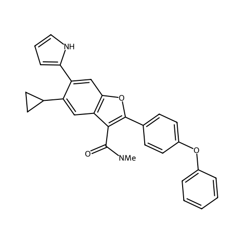 CNC(=O)c1c(-c2ccc(Oc3ccccc3)cc2)oc2cc(-c3ccc[nH]3)c(C3CC3)cc12